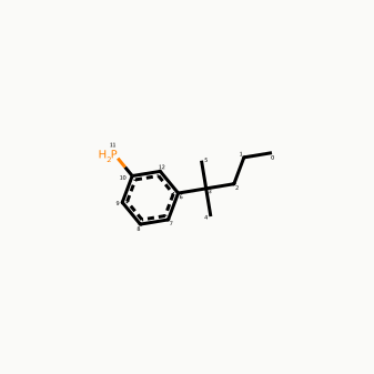 CCCC(C)(C)c1cccc(P)c1